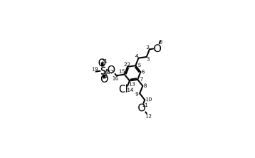 COCCCc1cc(CCCOC)c(Cl)c(COS(C)(=O)=O)c1